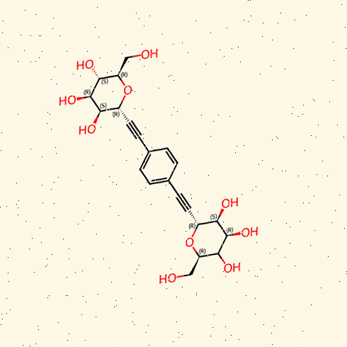 OC[C@H]1O[C@H](C#Cc2ccc(C#C[C@H]3O[C@H](CO)[C@@H](O)[C@H](O)[C@@H]3O)cc2)[C@@H](O)[C@@H](O)C1O